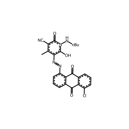 CCCCNn1c(O)c(/N=N/c2cccc3c2C(=O)c2cccc(Cl)c2C3=O)c(C)c(C#N)c1=O